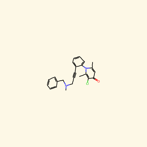 Cc1cc(=O)c(Cl)c(C)n1-c1ccccc1C#CCN(C)Cc1ccccc1